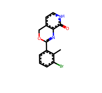 Cc1c(Br)cccc1C1=Nc2c(cc[nH]c2=O)CO1